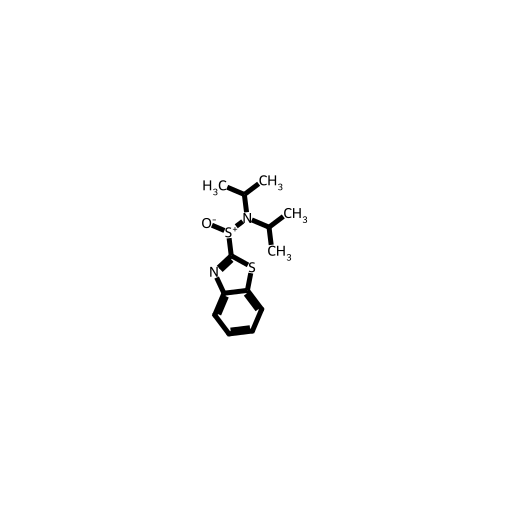 CC(C)N(C(C)C)[S+]([O-])c1nc2ccccc2s1